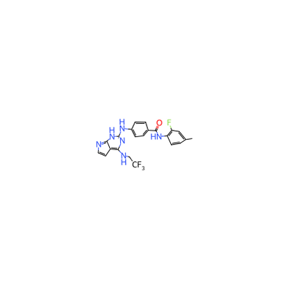 Cc1ccc(NC(=O)c2ccc(Nc3nc(NCC(F)(F)F)c4ccnc-4[nH]3)cc2)c(F)c1